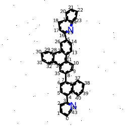 c1ccc(-c2ccc(-c3ccc4c5ccc(-c6ccc7ccccc7n6)cc5c5ccccc5c4c3)c3ccccc23)nc1